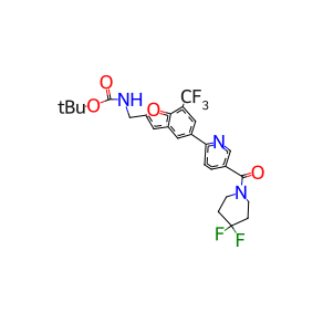 CC(C)(C)OC(=O)NCc1cc2cc(-c3ccc(C(=O)N4CCC(F)(F)CC4)cn3)cc(C(F)(F)F)c2o1